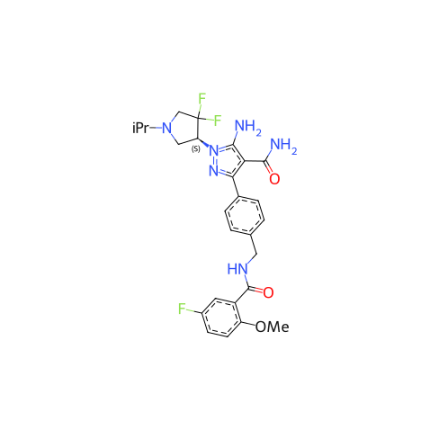 COc1ccc(F)cc1C(=O)NCc1ccc(-c2nn([C@H]3CN(C(C)C)CC3(F)F)c(N)c2C(N)=O)cc1